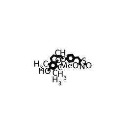 COC1=NC(=O)SC1Cc1ccc(OCC2(C)CCc3c(C)c(O)c(C)c(C)c3O2)cc1